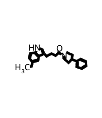 CCc1ccc2[nH]cc(CCCC(=O)N3CCC(c4ccccc4)CC3)c2c1